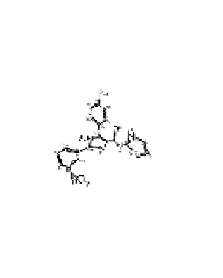 O=C(Nc1nccs1)c1nc(-c2cccc([N+](=O)[O-])c2)[nH]c1-c1ccc(F)cc1